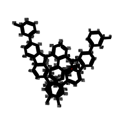 Cc1cccc(-c2ccc3c4ccc(-c5cccc(C)c5)cc4n(-c4cncc(-n5c6cc(-c7cccc(C)c7)ccc6c6ccc(-c7cccc(C)c7)cc65)c4-c4ccccc4C#N)c3c2)c1